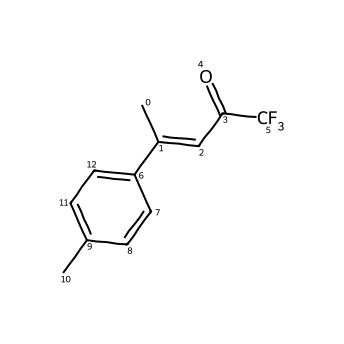 C/C(=C\C(=O)C(F)(F)F)c1ccc(C)cc1